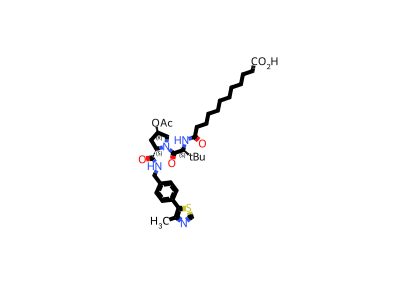 CC(=O)O[C@@H]1C[C@@H](C(=O)NCc2ccc(-c3scnc3C)cc2)N(C(=O)[C@@H](NC(=O)CCCCCCCCCCC(=O)O)C(C)(C)C)C1